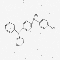 CN(c1ccc(C#N)cc1)c1ccc(N(c2ccccc2)c2ccccc2)cc1